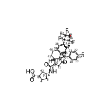 O=C(O)[C@H]1CC[C@@H](NC(=O)[C@@H]2CC[C@@]3(S(=O)(=O)c4ccc(F)cc4)c4ccc(C(F)(C(F)(F)F)C(F)(F)F)cc4CC[C@@H]23)C1